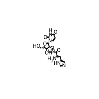 N[C@@H](Cc1cnc[nH]1)C(=O)NOC1C(O)[C@H](CO)O[C@@H]1n1ccc(=O)[nH]c1=O